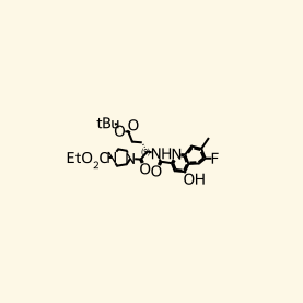 CCOC(=O)N1CCN(C(=O)[C@H](CCC(=O)OC(C)(C)C)NC(=O)c2cc(O)c3cc(F)c(C)cc3n2)CC1